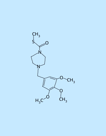 COc1cc(CN2CCN(C(=O)SC)CC2)cc(OC)c1OC